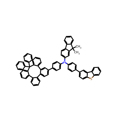 CC1(C)c2ccccc2-c2ccc(N(c3ccc(-c4ccc5c(c4)-c4ccccc4C(c4ccccc4)(c4ccccc4)c4ccccc4-c4ccccc4-5)cc3)c3ccc(-c4ccc5sc6ccccc6c5c4)cc3)cc21